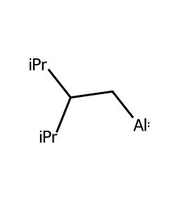 CC(C)C([CH2][Al])C(C)C